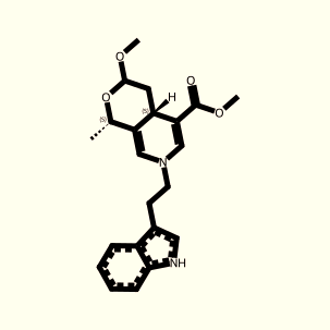 COC(=O)C1=CN(CCc2c[nH]c3ccccc23)C=C2[C@@H]1CC(OC)O[C@H]2C